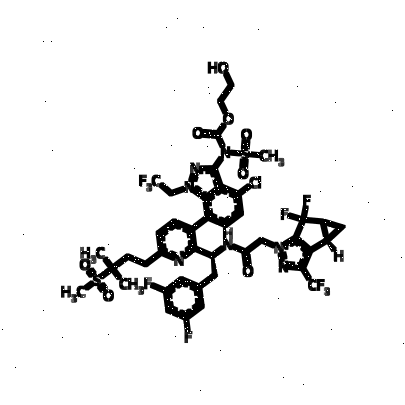 CC(C)(CCc1ccc(-c2ccc(Cl)c3c(N(C(=O)OCCO)S(C)(=O)=O)nn(CC(F)(F)F)c23)c([C@H](Cc2cc(F)cc(F)c2)NC(=O)Cn2nc(C(F)(F)F)c3c2C(F)(F)C2C[C@H]32)n1)S(C)(=O)=O